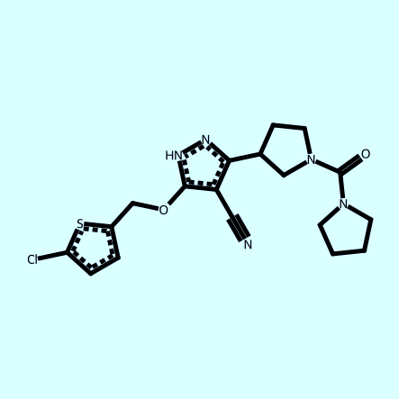 N#Cc1c(C2CCN(C(=O)N3CCCC3)C2)n[nH]c1OCc1ccc(Cl)s1